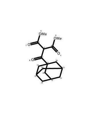 COC(=O)C(C(=O)OC)C(=O)C12CC3CC(CC(C3)C1)C2